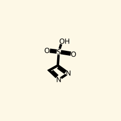 O=S(=O)(O)C1=NN=C1